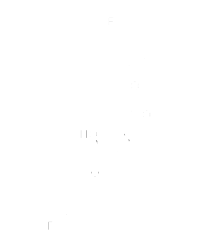 O=C(CN(Cc1ccccc1)C[C@H](O)C1CCc2cc(F)ccc2O1)[C@@H]1CCc2cc(F)ccc2O1